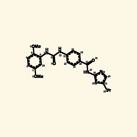 COc1ccc(OC)c(NC(=O)Nc2ccc(C(=O)Nc3ncc(C(C)C)s3)cc2)c1